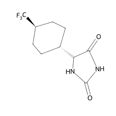 O=C1NC(=O)C([C@H]2CC[C@H](C(F)(F)F)CC2)N1